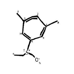 Cc1[c]c(C)cc([S+](C)[O-])c1